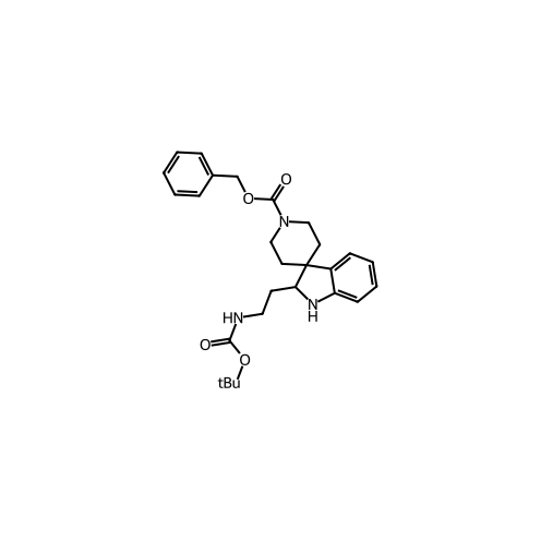 CC(C)(C)OC(=O)NCCC1Nc2ccccc2C12CCN(C(=O)OCc1ccccc1)CC2